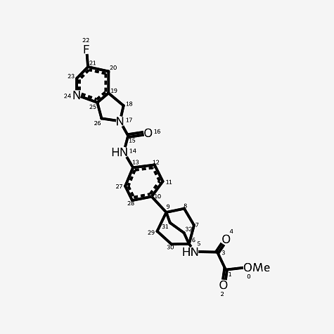 COC(=O)C(=O)NC12CCC(c3ccc(NC(=O)N4Cc5cc(F)cnc5C4)cc3)(CC1)CC2